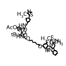 CC(=O)O[C@@H]1C[C@@H](C(=O)NCc2ccc(-c3scnc3C)cc2)N(C(=O)[C@@H](NC(=O)COCCCCCCOc2cc(F)c([C@@H]3c4[nH]c5ccccc5c4C[C@@H](C)N3CC(C)(C)F)c(F)c2)C(C)(C)C)C1